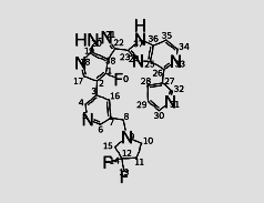 Fc1c(-c2cncc(CN3CCC(F)(F)C3)c2)cnc2[nH]nc(-c3nc4c(-c5cccnc5)nccc4[nH]3)c12